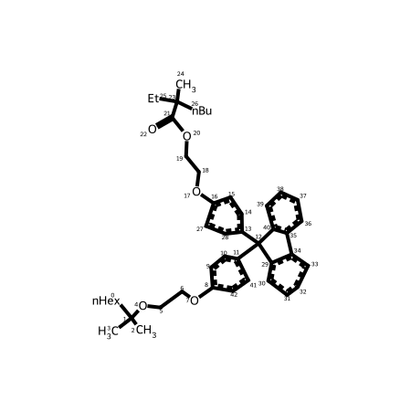 CCCCCCC(C)(C)OCCOc1ccc(C2(c3ccc(OCCOC(=O)C(C)(CC)CCCC)cc3)c3ccccc3-c3ccccc32)cc1